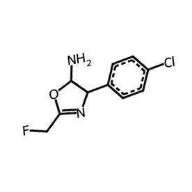 NC1OC(CF)=NC1c1ccc(Cl)cc1